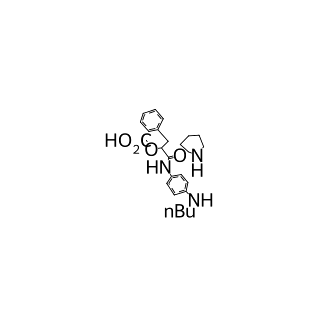 C1CCNCC1.CCCCNc1ccc(NC(=O)C(Cc2ccccc2)OC(=O)O)cc1